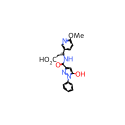 COc1ccc([C@H](CC(=O)O)NC(=O)c2cc(O)n(-c3ccccc3)n2)cn1